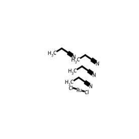 CCC#N.CCC#N.CCC#N.CCC#N.[Cl][Ru][Cl]